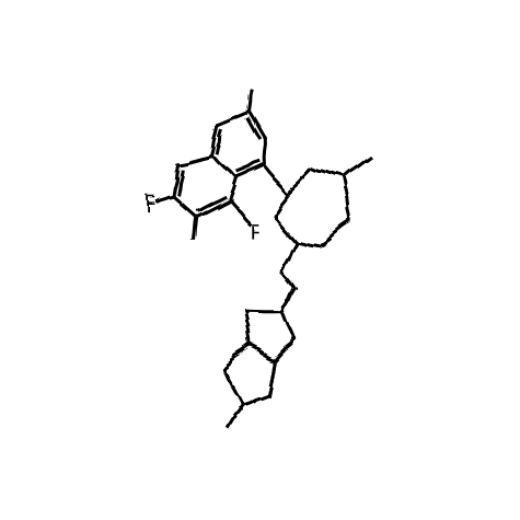 Cc1cc(C2CC(C)CCC(CCC3CC4CC(C)CC4C3)C2)c2c(F)c(C)c(F)cc2c1